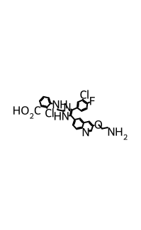 NCCOc1cnc2ccc(-c3[nH]c(CNc4cccc(C(=O)O)c4Cl)nc3-c3ccc(F)c(Cl)c3)cc2c1